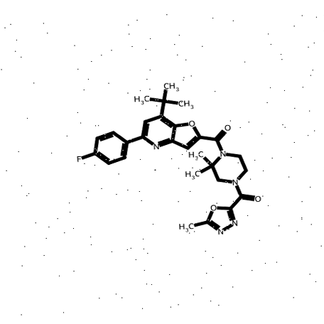 Cc1nnc(C(=O)N2CCN(C(=O)c3cc4nc(-c5ccc(F)cc5)cc(C(C)(C)C)c4o3)C(C)(C)C2)o1